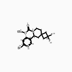 CC(C)(C)OC(=O)N1CCC2(CC1c1ccc(Br)nc1)CC(F)(F)C2